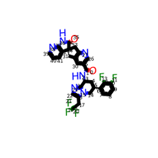 O=C(N[C@H]1C[C@@H](c2cccc(F)c2F)Cn2c(CC(F)(F)F)cnc21)c1cnc2c(c1)C[C@@]1(C2)C(=O)Nc2ncccc21